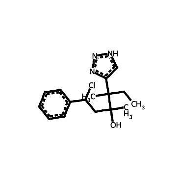 CCC(C)(c1c[nH]nn1)C(C)(O)CC(Cl)c1ccccc1